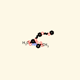 COC(=O)c1ccc(OCCCc2ccc(OCCCCOc3ccccc3)cc2)c(C(=O)NC2CCCC(C(=O)OC)C2)c1